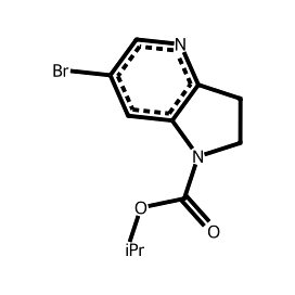 CC(C)OC(=O)N1CCc2ncc(Br)cc21